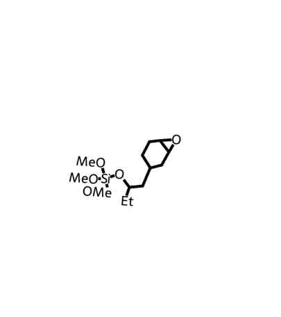 CCC(CC1CCC2OC2C1)O[Si](OC)(OC)OC